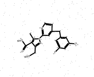 COCc1nn(-c2cc(Cc3cc(F)cc(C(F)(F)F)c3)ccn2)c(C)c1C(=O)OC